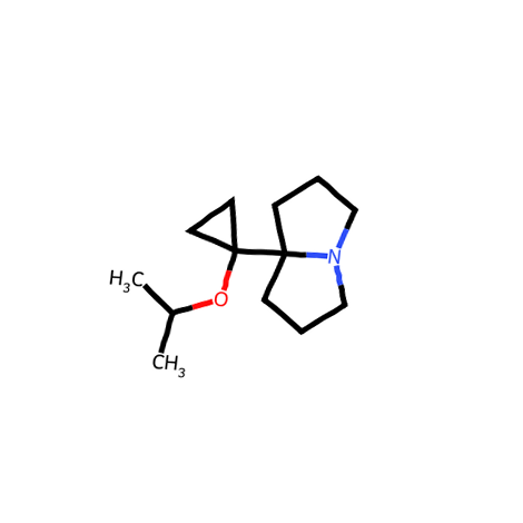 CC(C)OC1(C23CCCN2CCC3)CC1